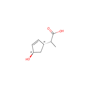 CC(C(=O)O)[C@H]1C=C[C@H](O)C1